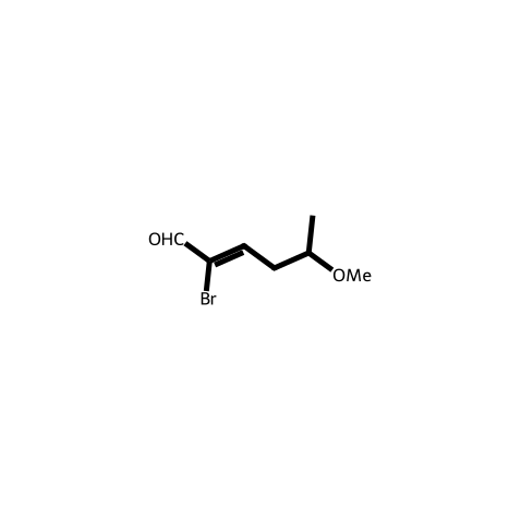 COC(C)CC=C(Br)C=O